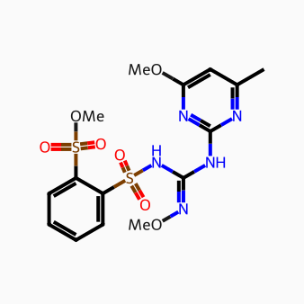 CON=C(Nc1nc(C)cc(OC)n1)NS(=O)(=O)c1ccccc1S(=O)(=O)OC